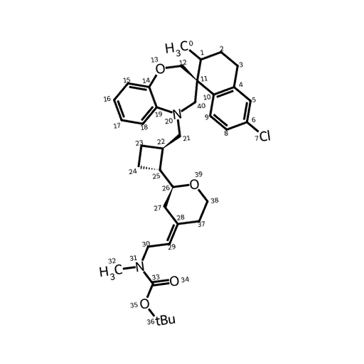 CC1CCc2cc(Cl)ccc2[C@@]12COc1ccccc1N(C[C@@H]1CC[C@H]1[C@@H]1C/C(=C\CN(C)C(=O)OC(C)(C)C)CCO1)C2